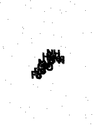 CN1CCN(c2nc(N)nc3cc(C(=O)NC(Cc4ccc(-c5cccc(F)c5F)nc4)C(=O)N(C)C)ccc23)CC1